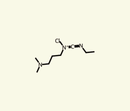 CCN=C=[N+](Cl)CCCN(C)C